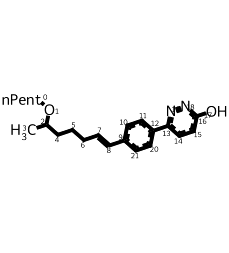 CCCCCOC(C)CCCC=Cc1ccc(-c2ccc(O)nn2)cc1